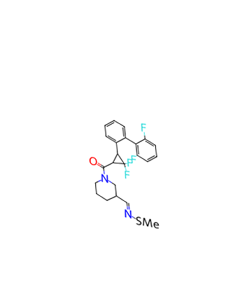 CS/N=C/C1CCCN(C(=O)C2C(c3ccccc3-c3c(F)cccc3F)C2(F)F)C1